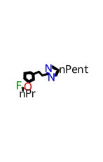 CCCCCc1cnc(CCc2cccc(OC(F)CCC)c2)nc1